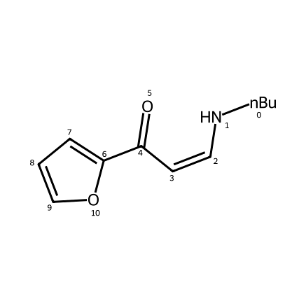 CCCCN/C=C\C(=O)c1ccco1